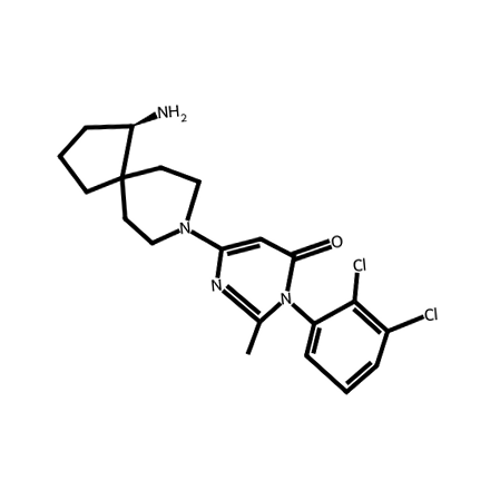 Cc1nc(N2CCC3(CCC[C@H]3N)CC2)cc(=O)n1-c1cccc(Cl)c1Cl